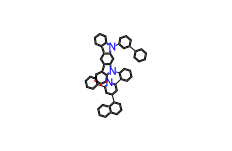 c1ccc(-c2cccc(-n3c4ccccc4c4cc5c6ccccc6n(-c6ccccc6-c6cc(-c7cccc8ccccc78)cc(-c7ccccc7)n6)c5cc43)c2)cc1